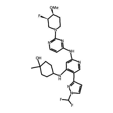 CO[C@H]1CCN(c2nccc(Nc3cc(NC4CCC(C)(O)CC4)c(-c4ccn(C(F)F)n4)cn3)n2)C[C@H]1F